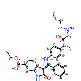 CCOC(=O)c1ccc2c(c1)NC(=O)/C2=C(/Nc1ccc(N(C)C(=O)CN(C)CCOC)cc1)c1ccccc1